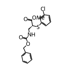 COC(=O)[C@H](CNC(=O)OCc1ccccc1)Sc1cccc(Cl)c1